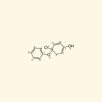 OC1=CCC(Cl)(Oc2ccccc2)C=C1